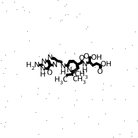 CC[C@H](C)C1(C)C=C(C(=O)NC(CCC(=O)O)C(=O)O)C=CC(NCc2cnc3nc(N)[nH]c(=O)c3n2)=N1